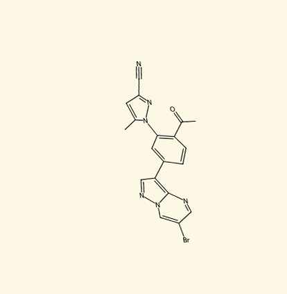 CC(=O)c1ccc(-c2cnn3cc(Br)cnc23)cc1-n1nc(C#N)cc1C